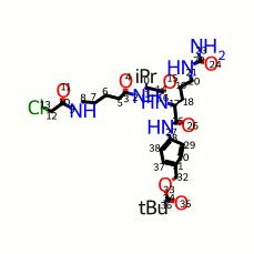 CC(C)[C@H](NC(=O)CCCCNC(=O)CCl)C(=O)N[C@@H](CCCNC(N)=O)C(=O)Nc1ccc(COC(=O)C(C)(C)C)cc1